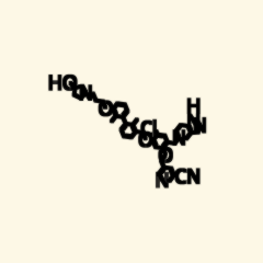 Cc1c(COc2cc(OCc3cncc(C#N)c3)c(CN3CCc4[nH]ncc4C3)cc2Cl)cccc1-c1cccc(OCCCN2CCC(O)C2)c1C